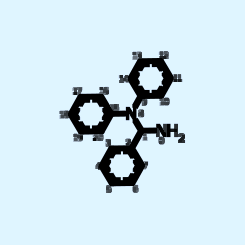 NC(c1ccccc1)N(c1ccccc1)c1ccccc1